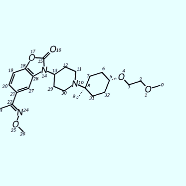 COCCO[C@H]1CC[C@](C)(N2CCC(n3c(=O)oc4ccc(C(C)=NOC)cc43)CC2)CC1